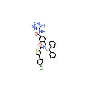 N=C(/N=N\N)NC(=O)c1ccc(CN(CC(c2ccccc2)c2ccccc2)C(=O)c2cc(-c3ccc(Cl)cc3)cs2)cc1